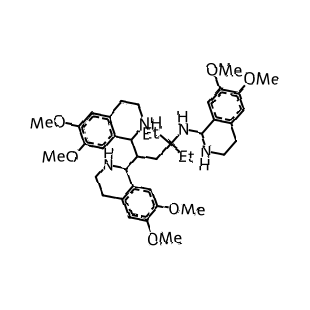 CCC(CC)(CC(C1NCCc2cc(OC)c(OC)cc21)C1NCCc2cc(OC)c(OC)cc21)NC1NCCc2cc(OC)c(OC)cc21